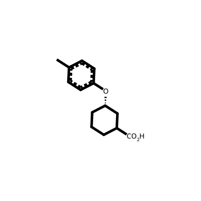 Cc1ccc(O[C@H]2CCCC(C(=O)O)C2)cc1